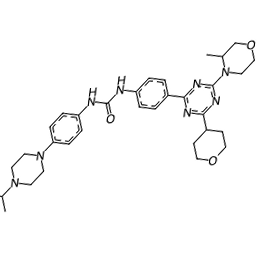 CC(C)N1CCN(c2ccc(NC(=O)Nc3ccc(-c4nc(C5CCOCC5)nc(N5CCOCC5C)n4)cc3)cc2)CC1